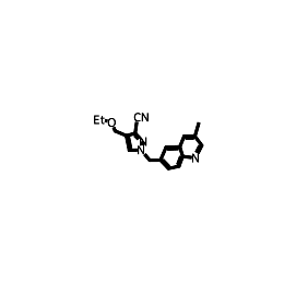 CCOCc1cn(Cc2ccc3ncc(C)cc3c2)nc1C#N